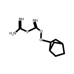 N=C(N)SC(=N)OOC1CC2CCC1C2